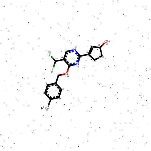 COc1ccc(COc2nc(C3=CC(O)CC3)ncc2C(F)F)cc1